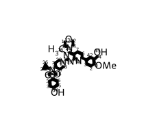 COc1ccc(-c2ccc3c(N4CCOC[C@@H]4C)nc(N4CCC(N(C5CC5)S(=O)(=O)c5ccc(O)cc5)CC4)nc3n2)cc1CO